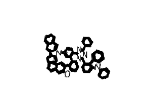 c1ccc(-c2nc(-c3ccc(-n4c5ccccc5c5cc6ccccc6cc54)cc3-c3cccc4oc5cc6ccccc6cc5c34)nc(-c3cccc4c3c3ccccc3n4-c3ccccc3)n2)cc1